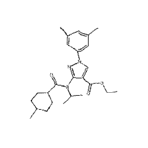 CCOC(=O)c1cn(-c2cc(C)cc(C)c2)nc1N(C(=O)C1CCC(C)CC1)C(C)C